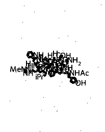 CNC(=N)NCCC[C@H](CC(=O)[C@H](CC(C)C)NC(=O)NCC(=O)[C@H](Cc1cccc(F)c1)NC(=O)[C@@H](CC(=O)[C@H](CC(N)=O)NC(=O)[C@H](CC(=O)[C@@H](Cc1ccc(O)cc1)NC(C)=O)Cc1c[nH]c2ccccc12)[C@@H](C)O)C(=O)N[C@@H](Cc1c[nH]c2ccccc12)C(N)=O